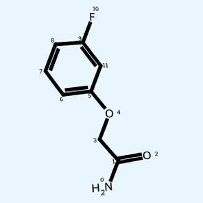 NC(=O)COc1cccc(F)c1